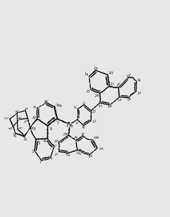 c1ccc2c(c1)-c1c(N(c3ccc(-c4cc5ccccc5c5ccccc45)cc3)c3cccc4ccccc34)cccc1C21C2CC3CC(C2)CC1C3